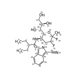 CCC(CC)C(=O)N[C@H]1[C@H]([C@H](O)[C@H](O)CO)OC(C)(F)C(F)[C@@H]1n1cc2ccccc2c1C#N